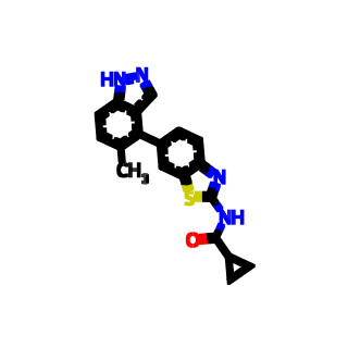 Cc1ccc2[nH]ncc2c1-c1ccc2nc(NC(=O)C3CC3)sc2c1